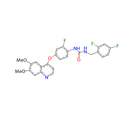 COc1cc2nccc(Oc3ccc(NC(=O)NCc4ccc(F)cc4F)c(F)c3)c2cc1OC